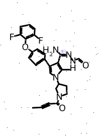 CC#CC(=O)N1CCC(n2cc(-c3ccc(Oc4c(F)cccc4F)cc3)c(/C(N)=N\NC=O)c2C)C1